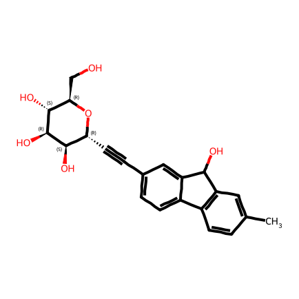 Cc1ccc2c(c1)C(O)c1cc(C#C[C@H]3O[C@H](CO)[C@@H](O)[C@H](O)[C@@H]3O)ccc1-2